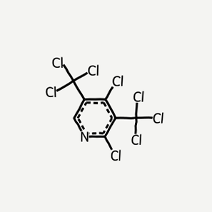 Clc1ncc(C(Cl)(Cl)Cl)c(Cl)c1C(Cl)(Cl)Cl